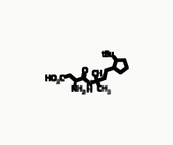 CC(C)(CCC1CCCC1C(C)(C)C)NC(=O)[C@@H](N)CC(=O)O